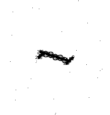 CCCCC(=COCCOCCOCCOCCOC=C(CC)CCCC)CC